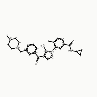 Cc1ccc(C(=O)NC2CC2)cc1-n1ncc(C(=O)c2cccc(CN3CCN(C)CC3)c2)c1N